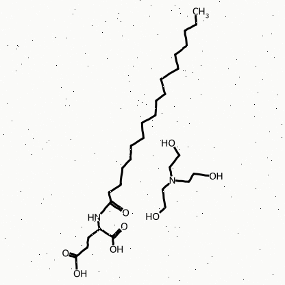 CCCCCCCCCCCCCCCCCC(=O)NC(CCC(=O)O)C(=O)O.OCCN(CCO)CCO